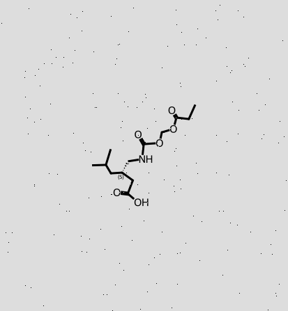 CCC(=O)OCOC(=O)NC[C@H](CC(=O)O)CC(C)C